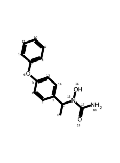 CC(c1ccc(Oc2ccccc2)cc1)N(O)C(N)=O